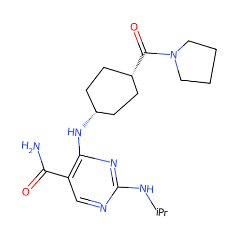 CC(C)Nc1ncc(C(N)=O)c(N[C@H]2CC[C@@H](C(=O)N3CCCC3)CC2)n1